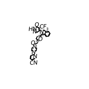 N#Cc1ccc(N2CCN(C(=O)C[C@H]3CC[C@H]([C@@H]4c5ccccc5CN4c4cn[nH]c(=O)c4C(F)(F)F)O3)CC2)nc1